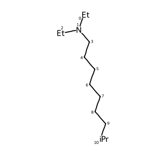 CCN(CC)CCCCCCCC(C)C